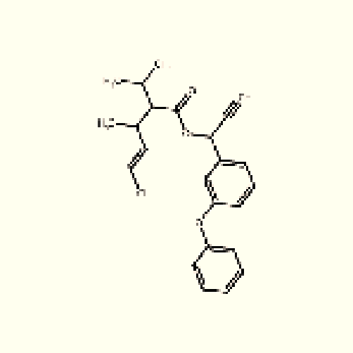 C#CC(OC(=O)C(C(C)C)C(C)C=CCl)c1cccc(Oc2ccccc2)c1